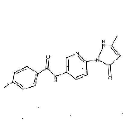 Cc1ccc(C(=O)Nc2ccc(-n3[nH]c(C)cc3=O)nc2)cc1